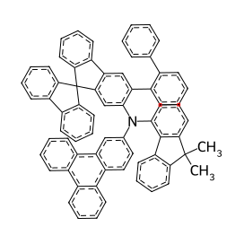 CC1(C)c2ccccc2-c2c(N(c3ccc4c5ccccc5c5ccccc5c4c3)c3cc4c(cc3-c3ccccc3-c3ccccc3)-c3ccccc3C43c4ccccc4-c4ccccc43)cccc21